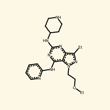 CCOCCn1nc(CC)c2nc(NC3CCNCC3)nc(Nc3ccccn3)c21